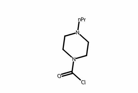 CCCN1CCN(C(=O)Cl)CC1